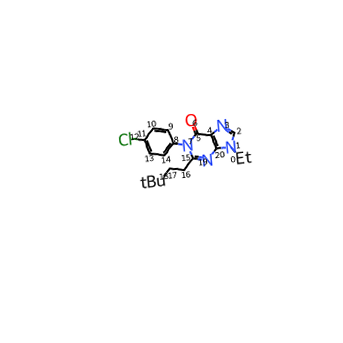 CCn1cnc2c(=O)n(-c3ccc(Cl)cc3)c(CCC(C)(C)C)nc21